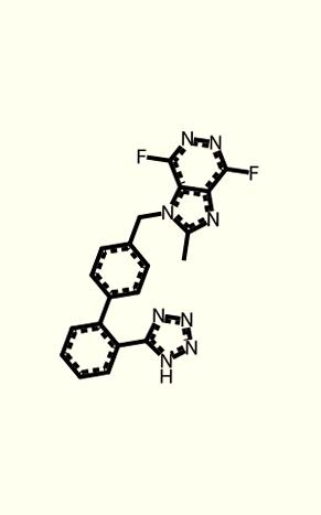 Cc1nc2c(F)nnc(F)c2n1Cc1ccc(-c2ccccc2-c2nnn[nH]2)cc1